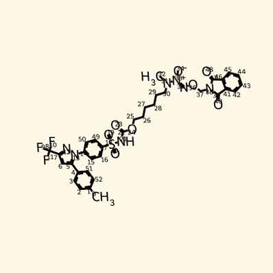 Cc1ccc(-c2cc(C(F)(F)F)nn2-c2ccc(S(=O)(=O)NC(=O)OCCCCCCN(C)[N+]([O-])=NOCN3C(=O)c4ccccc4C3=O)cc2)cc1